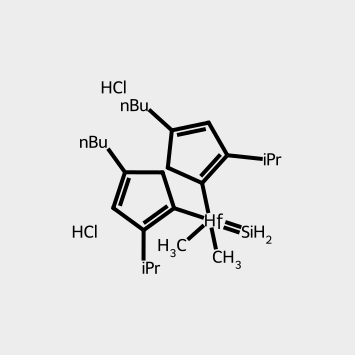 CCCCC1=CC(C(C)C)=[C]([Hf]([CH3])([CH3])(=[SiH2])[C]2=C(C(C)C)C=C(CCCC)C2)C1.Cl.Cl